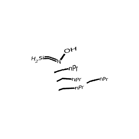 CCCC.CCCC.CCCC.CCCC.ON=[SiH2]